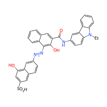 CCn1c2ccccc2c2cc(NC(=O)c3cc4ccccc4c(/N=N/c4ccc5cc(S(=O)(=O)O)cc(O)c5c4)c3O)ccc21